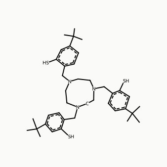 CC(C)(C)c1ccc(CN2CCN(Cc3ccc(C(C)(C)C)cc3S)CCN(Cc3ccc(C(C)(C)C)cc3S)CC2)c(S)c1